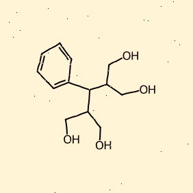 OCC(CO)C(c1ccccc1)C(CO)CO